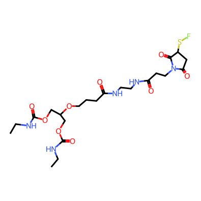 CCNC(=O)OCC(COC(=O)NCC)OCCCC(=O)NCCNC(=O)CCN1C(=O)CC(SF)C1=O